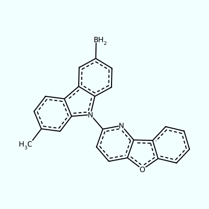 Bc1ccc2c(c1)c1ccc(C)cc1n2-c1ccc2oc3ccccc3c2n1